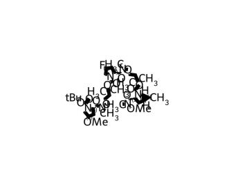 CO[C@@H]1C[C@@H](C(=O)N(C)OCCC(C)(C)OC(=O)N2C[C@H](F)C[C@H]2C(=O)N(C)OCCC(C)(C)OC(=O)N2[C@H]3[C@@H](C)[C@H]3C[C@H]2C(=O)N(C)OC)N(C(=O)OC(C)(C)C)C1